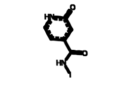 O=C(NI)c1cc[nH]c(=O)c1